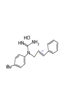 CCC(C)c1ccc(N(C/C=C/c2ccccc2)C(=N)N)cc1.Cl